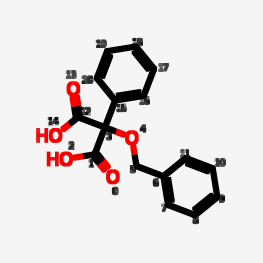 O=C(O)C(OCc1ccccc1)(C(=O)O)c1ccccc1